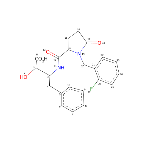 O=C(O)C(O)C(Cc1ccccc1)NC(=O)C1CCC(=O)N1Cc1ccccc1F